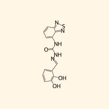 O=C(N/N=C/c1cccc(O)c1O)Nc1cccc2nsnc12